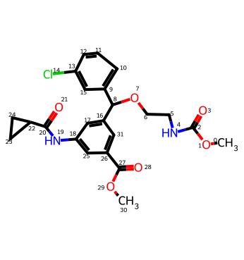 COC(=O)NCCOC(c1cccc(Cl)c1)c1cc(NC(=O)C2CC2)cc(C(=O)OC)c1